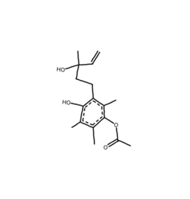 C=CC(C)(O)CCc1c(C)c(OC(C)=O)c(C)c(C)c1O